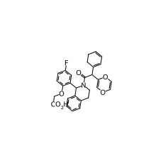 O=C(O)COc1ccc(F)cc1C1c2ccccc2CCN1C(=O)C(C1=CC=CCC1)C1=COC=CO1